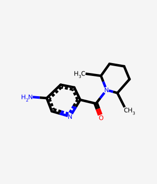 CC1CCCC(C)N1C(=O)c1ccc(N)cn1